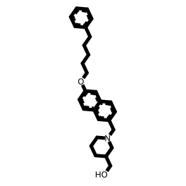 OCC1CCCN(Cc2ccc3cc(OCCCCCc4ccccc4)ccc3c2)C1